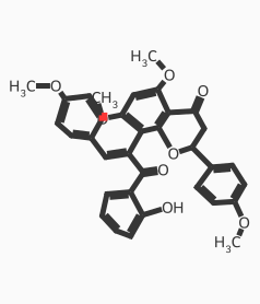 COc1ccc(/C=C(/C(=O)c2ccccc2O)c2c(OC)cc(OC)c3c2OC(c2ccc(OC)cc2)CC3=O)cc1